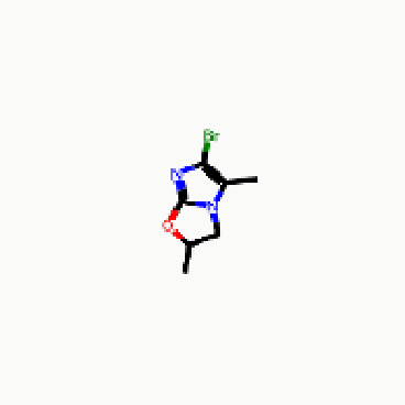 Cc1c(Br)nc2n1CC(C)O2